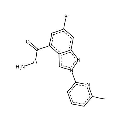 Cc1cccc(-n2cc3c(C(=O)ON)cc(Br)cc3n2)n1